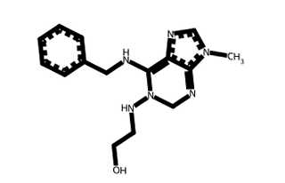 Cn1cnc2c1=NCN(NCCO)C=2NCc1ccccc1